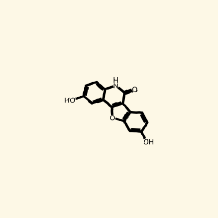 O=c1[nH]c2ccc(O)cc2c2oc3cc(O)ccc3c12